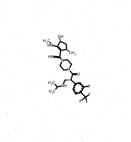 CNC1=C(C(=N)N2CCN(C(=O)[C@H](CNC(C)C)c3ccc(C(F)(F)F)c(F)c3)CC2)[C@H](C)C[C@@H]1O